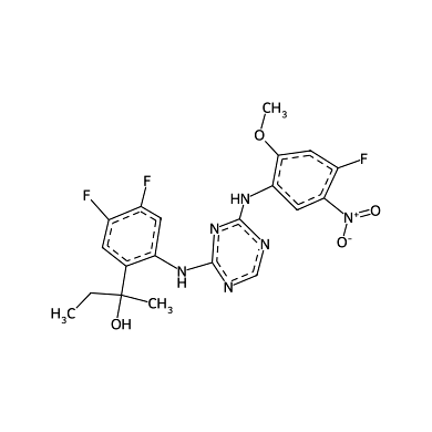 CCC(C)(O)c1cc(F)c(F)cc1Nc1ncnc(Nc2cc([N+](=O)[O-])c(F)cc2OC)n1